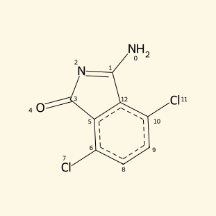 NC1=NC(=O)c2c(Cl)ccc(Cl)c21